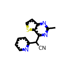 Cc1nc(C(C#N)c2ccccn2)c2sccc2n1